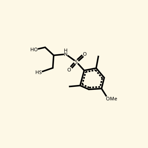 COc1cc(C)c(S(=O)(=O)NC(CO)CS)c(C)c1